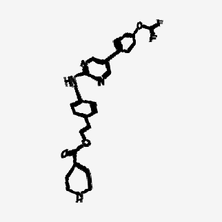 O=C(OCCc1ccc(Nc2ncc(-c3ccc(OC(F)F)cc3)cn2)cc1)C1CCNCC1